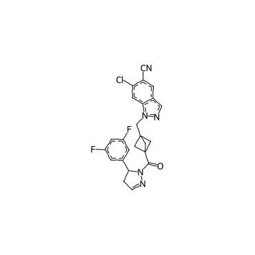 N#Cc1cc2cnn(CC34CC(C(=O)N5N=CCC5c5cc(F)cc(F)c5)(C3)C4)c2cc1Cl